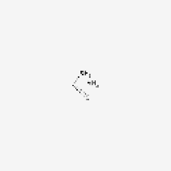 O=C[SiH3].[AlH3]